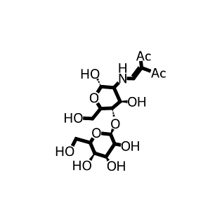 CC(=O)C(=CNC1[C@@H](O)[C@H](O[C@@H]2OC(CO)[C@H](O)[C@H](O)C2O)C(CO)O[C@@H]1O)C(C)=O